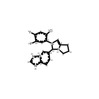 Fc1cc(Cl)c(N2C=C3CCCN3C2c2ccc3ncnn3c2)cc1F